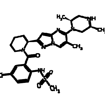 Cc1cn2nc([C@@H]3CCCCN3C(=O)c3cc(Cl)ccc3NS(C)(=O)=O)cc2nc1N1C[C@H](C)NC[C@H]1C